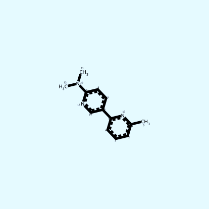 Cc1cccc(-c2ccc(N(C)C)nc2)n1